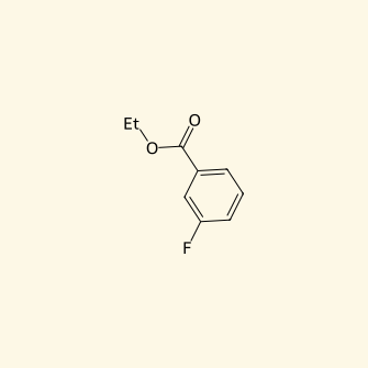 [CH2]COC(=O)c1cccc(F)c1